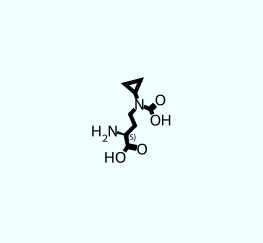 N[C@@H](CCN(C(=O)O)C1CC1)C(=O)O